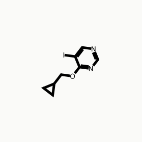 Ic1cncnc1OCC1CC1